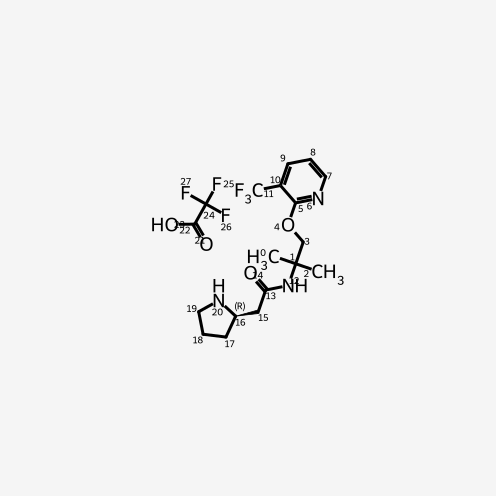 CC(C)(COc1ncccc1C(F)(F)F)NC(=O)C[C@H]1CCCN1.O=C(O)C(F)(F)F